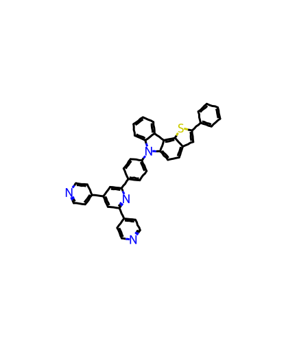 c1ccc(-c2cc3ccc4c(c5ccccc5n4-c4ccc(-c5cc(-c6ccncc6)cc(-c6ccncc6)n5)cc4)c3s2)cc1